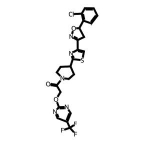 O=C(COc1ncc(C(F)(F)F)cn1)N1CCC(c2nc(C3=NOC(c4[c]cccc4Cl)C3)cs2)CC1